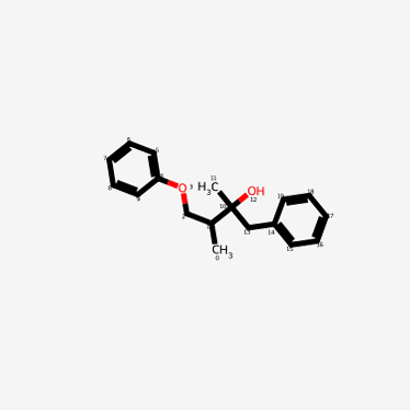 CC(COc1ccccc1)C(C)(O)Cc1ccccc1